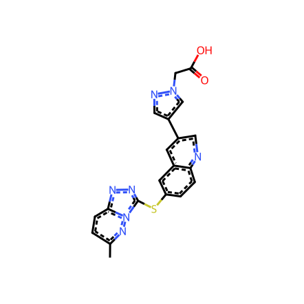 Cc1ccc2nnc(Sc3ccc4ncc(-c5cnn(CC(=O)O)c5)cc4c3)n2n1